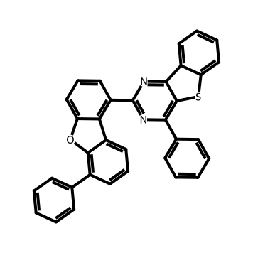 c1ccc(-c2cccc3c2oc2cccc(-c4nc(-c5ccccc5)c5sc6ccccc6c5n4)c23)cc1